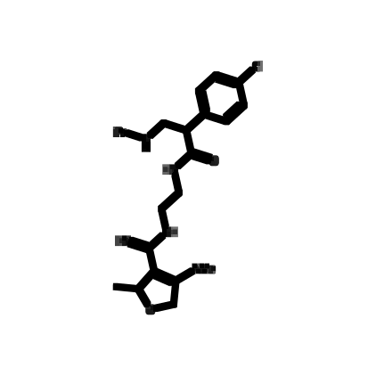 CNC1=C(C(=N)NCCNC(=O)C(CNC(C)C)c2ccc(Cl)cc2)C(C)OC1